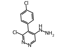 NNc1cnnc(Cl)c1-c1ccc(Cl)cc1